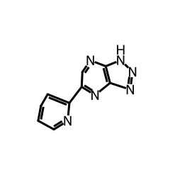 c1ccc(-c2cnc3[nH]nnc3n2)nc1